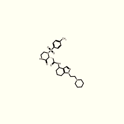 Cc1ccc(S(=O)(=O)N2CCNC(=O)[C@H]2CC(=O)NC2CCCc3c2cnn3CCN2CCCCC2)cc1